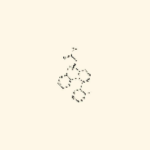 Cc1ccccc1-c1cccc([PH2]=NC(=O)O)c1-c1ccccc1C